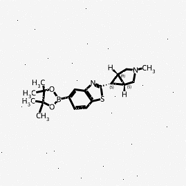 CN1C[C@@H]2[C@H](C1)[C@@H]2c1nc2cc(B3OC(C)(C)C(C)(C)O3)ccc2s1